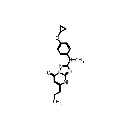 CCCc1cc(=O)n2nc(N(C)c3ccc(OC4CC4)cc3)nc2[nH]1